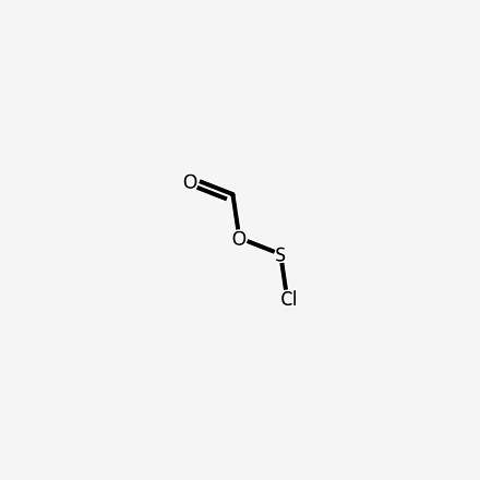 O=COSCl